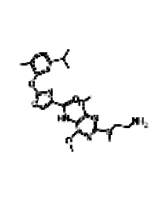 COc1nc(N(C)CCN)nc(OC)c1NC(=O)c1coc(Oc2cc(C(C)C)ccc2C)n1